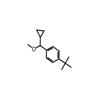 COC(c1ccc(C(C)(C)C)cc1)C1CC1